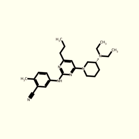 CCCc1cc(N2CCC[C@@H](N(CC)CC)C2)nc(Nc2ccc(C)c(C#N)c2)n1